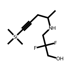 CC(CC#C[Si](C)(C)C)NCC(F)(F)CO